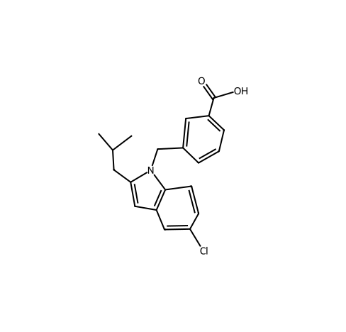 CC(C)Cc1cc2cc(Cl)ccc2n1Cc1cccc(C(=O)O)c1